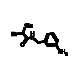 CCC(C(=O)NCc1cccc(N)c1)C(C)(C)C